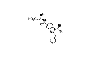 CCCC(CC(=O)O)NC(=O)c1ccc2c(c1)nc(Cc1cccs1)n2C(CC)CC